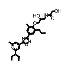 CCCc1cc(-c2noc(-c3cc(C)nc(C(CC)CC)c3)n2)cc(C)c1OCC(O)CNC(=O)CO